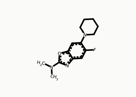 CN(C)c1nc2cc(F)c(N3CCCCC3)cc2o1